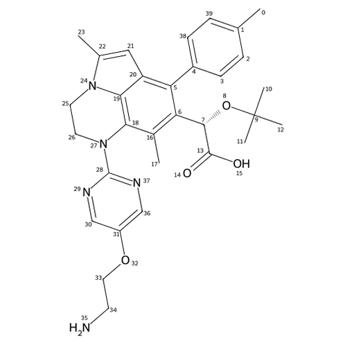 Cc1ccc(-c2c([C@H](OC(C)(C)C)C(=O)O)c(C)c3c4c2cc(C)n4CCN3c2ncc(OCCN)cn2)cc1